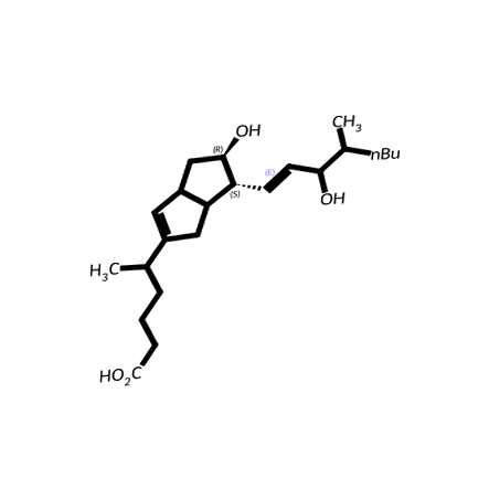 CCCCC(C)C(O)/C=C/[C@@H]1C2CC(C(C)CCCC(=O)O)=CC2C[C@H]1O